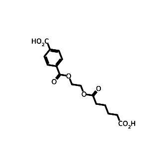 O=C(O)CCCCC(=O)OCCOC(=O)c1ccc(C(=O)O)cc1